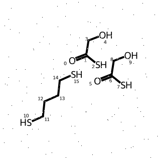 O=C(S)CO.O=C(S)CO.SCCCCS